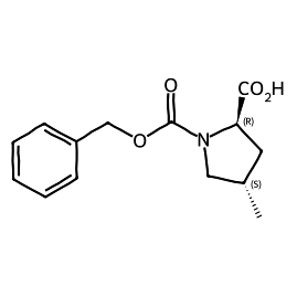 C[C@H]1C[C@H](C(=O)O)N(C(=O)OCc2ccccc2)C1